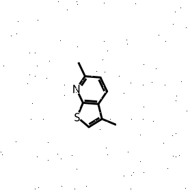 Cc1ccc2c(C)csc2n1